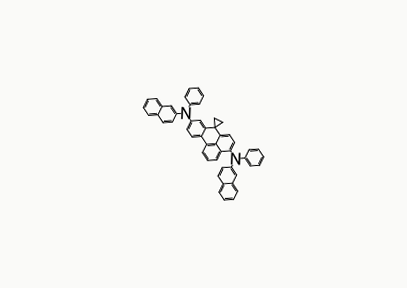 c1ccc(N(c2ccc3c(c2)C2(CC2)c2ccc(N(c4ccccc4)c4ccc5ccccc5c4)c4cccc-3c24)c2ccc3ccccc3c2)cc1